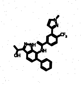 C=C(Nc1c(-c2ccccc2)ccc2c(C(C)O)n[nH]c12)c1ccc(C(F)(F)F)c(-c2ccn(C)n2)c1